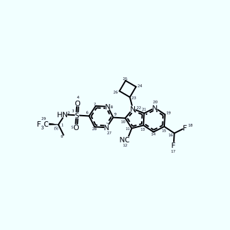 C[C@H](NS(=O)(=O)c1cnc(-c2c(C#N)c3cc(C(F)F)cnc3n2C2CCC2)nc1)C(F)(F)F